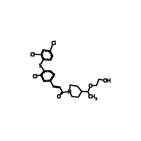 CC(OCCO)C1CCN(C(=O)C=Cc2ccc(Sc3ccc(Cl)cc3Cl)c(Cl)c2)CC1